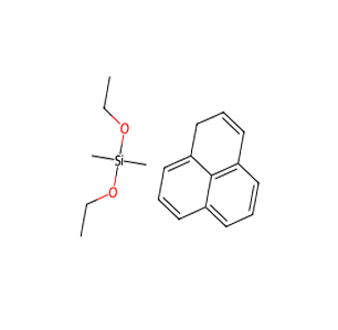 C1=Cc2cccc3cccc(c23)C1.CCO[Si](C)(C)OCC